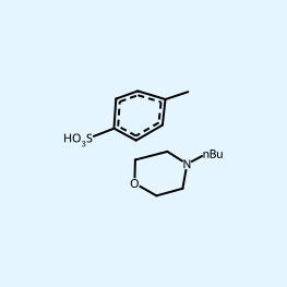 CCCCN1CCOCC1.Cc1ccc(S(=O)(=O)O)cc1